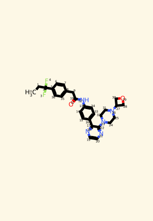 CCC(F)(F)c1ccc(CC(=O)Nc2ccc(-c3nccnc3N3CCN(C4COC4)CC3)cc2)cc1